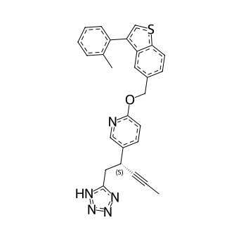 CC#C[C@H](Cc1nnn[nH]1)c1ccc(OCc2ccc3scc(-c4ccccc4C)c3c2)nc1